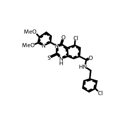 COc1ccc(-n2c(=S)[nH]c3cc(C(=O)NCc4cccc(Cl)c4)cc(Cl)c3c2=O)nc1OC